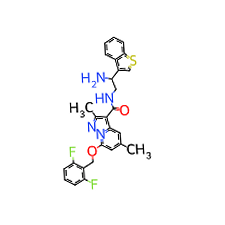 Cc1cc(OCc2c(F)cccc2F)n2nc(C)c(C(=O)NCC(N)c3csc4ccccc34)c2c1